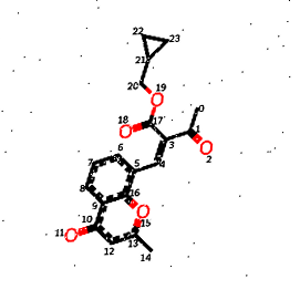 CC(=O)C(=Cc1cccc2c(=O)cc(C)oc12)C(=O)OCC1CC1